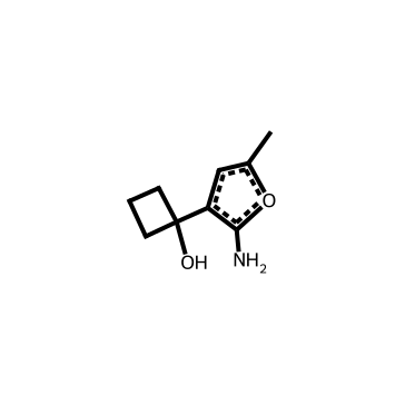 Cc1cc(C2(O)CCC2)c(N)o1